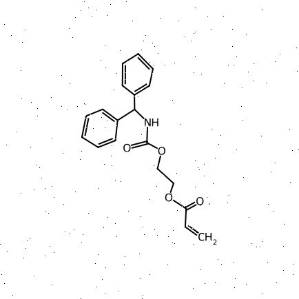 C=CC(=O)OCCOC(=O)NC(c1ccccc1)c1ccccc1